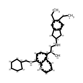 CCc1cc2c(cc1CC)CC(NC[C@@H](O)c1ccc(OCC3CCCCC3)c3ncccc13)C2